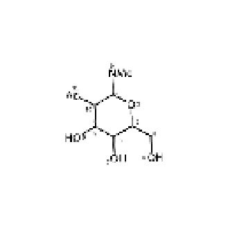 CNC1OC(CO)C(O)C(O)C1C(C)=O